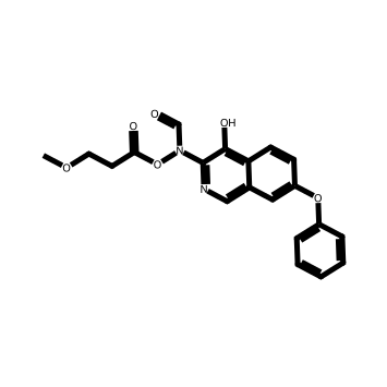 COCCC(=O)ON(C=O)c1ncc2cc(Oc3ccccc3)ccc2c1O